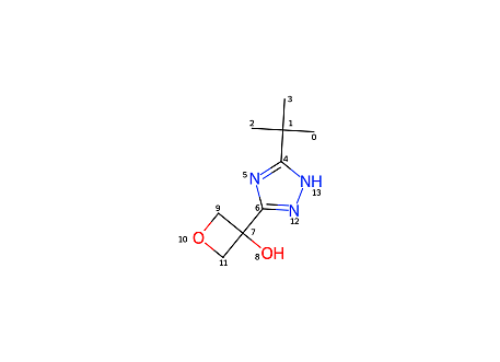 CC(C)(C)c1nc(C2(O)COC2)n[nH]1